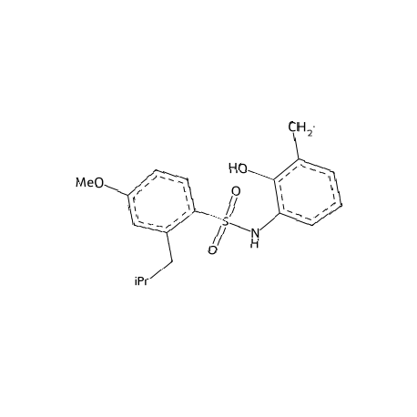 [CH2]c1cccc(NS(=O)(=O)c2ccc(OC)cc2CC(C)C)c1O